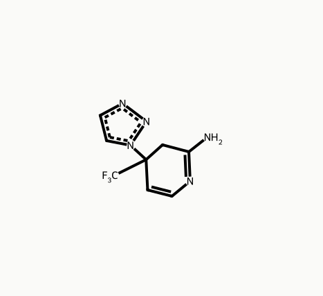 NC1=NC=CC(n2ccnn2)(C(F)(F)F)C1